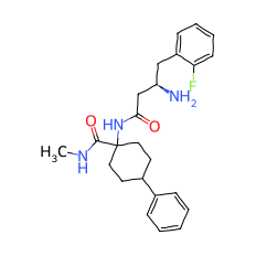 CNC(=O)C1(NC(=O)C[C@H](N)Cc2ccccc2F)CCC(c2ccccc2)CC1